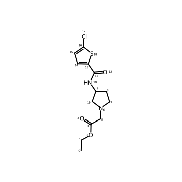 CCOC(=O)CN1CCC(NC(=O)c2ccc(Cl)s2)C1